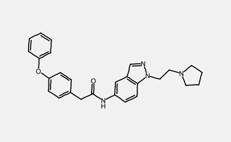 O=C(Cc1ccc(Oc2ccccc2)cc1)Nc1ccc2c(cnn2CCN2CCCC2)c1